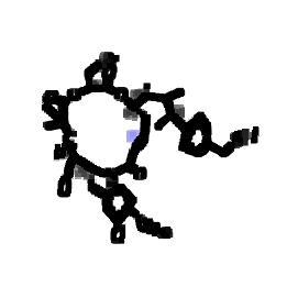 COc1ccc(C[C@H]2NC(=O)/C=C/C[C@@H]([C@H](C)C(C)[C@H](C)c3ccc(CS)cc3)OC(=O)[C@H](CC(C)C)OC(=O)C(C)(C)CNC2=O)cc1Cl